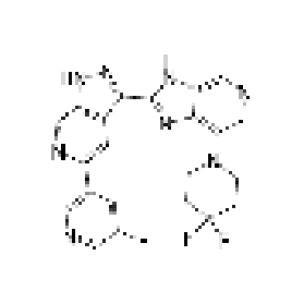 Fc1cncc(-c2cc3c(-c4nc5c(N6CCC(F)(F)CC6)cncc5[nH]4)n[nH]c3cn2)c1